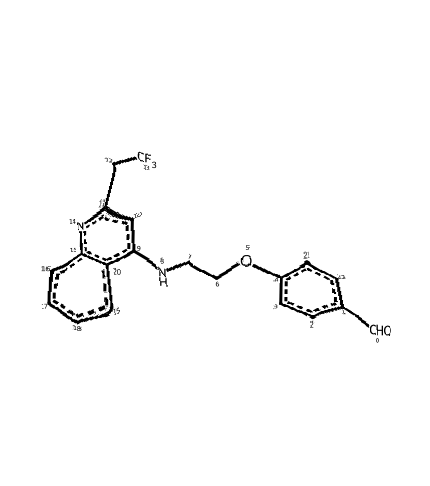 O=Cc1ccc(OCCNc2cc(CC(F)(F)F)nc3ccccc23)cc1